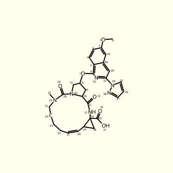 COc1ccc2c(OC3CC4C(=O)NC5(C(=O)O)CC5/C=C\CCCCN(C)C(=O)N4C3)nc(-n3cccn3)cc2c1